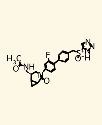 CC(=O)NC[C@H]1CN(c2ccc(-c3ccc(C[S+]([O-])c4cnn[nH]4)cc3)c(F)c2)C(=O)C2CC21